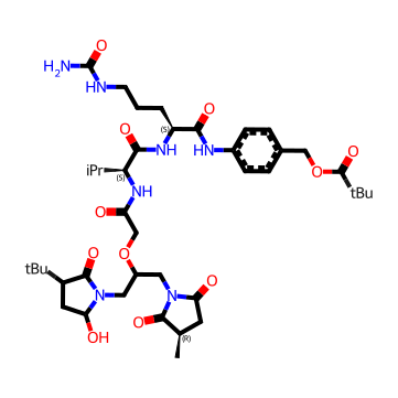 CC(C)[C@H](NC(=O)COC(CN1C(=O)C[C@@H](C)C1=O)CN1C(=O)C(C(C)(C)C)CC1O)C(=O)N[C@@H](CCCNC(N)=O)C(=O)Nc1ccc(COC(=O)C(C)(C)C)cc1